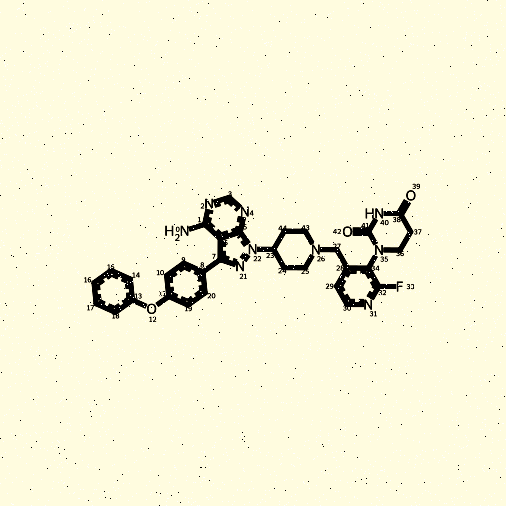 Nc1ncnc2c1c(-c1ccc(Oc3ccccc3)cc1)nn2C1CCN(Cc2ccnc(F)c2N2CCC(=O)NC2=O)CC1